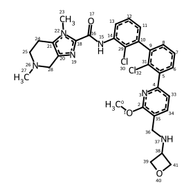 COc1nc(-c2cccc(-c3cccc(NC(=O)c4nc5c(n4C)CCN(C)C5)c3Cl)c2Cl)ccc1CNC1COC1